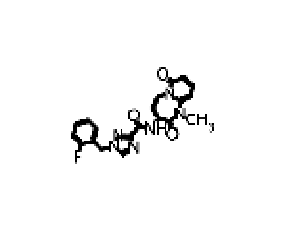 CN1C(=O)[C@@H](NC(=O)c2ncn(Cc3ccccc3F)n2)CCn2c1cccc2=O